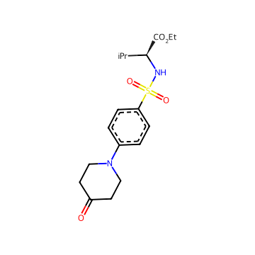 CCOC(=O)[C@@H](NS(=O)(=O)c1ccc(N2CCC(=O)CC2)cc1)C(C)C